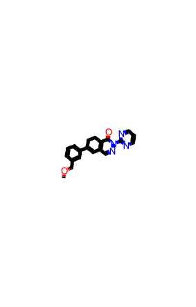 COCc1cccc(C2=Cc3cnn(-c4ncccn4)c(=O)c3CC2)c1